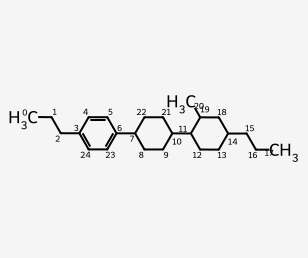 CCCc1ccc(C2CCC(C3CCC(CCC)CC3C)CC2)cc1